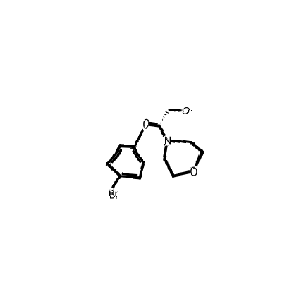 [O]C[C@@H](Oc1ccc(Br)cc1)N1CCOCC1